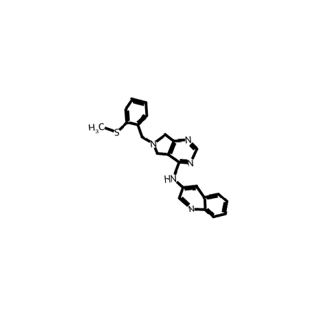 CSc1ccccc1CN1Cc2ncnc(Nc3cnc4ccccc4c3)c2C1